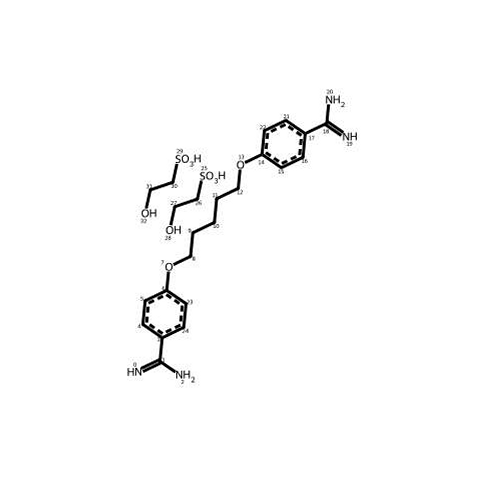 N=C(N)c1ccc(OCCCCCOc2ccc(C(=N)N)cc2)cc1.O=S(=O)(O)CCO.O=S(=O)(O)CCO